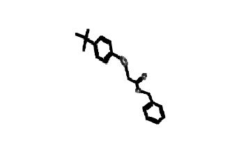 CC(C)(C)c1ccc(OCC(=O)OCc2ccccc2)cc1